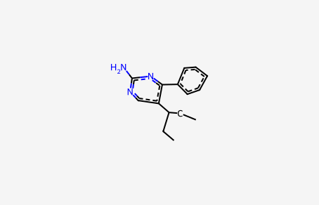 CCC(CC)c1cnc(N)nc1-c1ccccc1